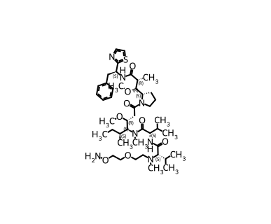 CC[C@H](C)[C@@H]([C@@H](CC(=O)N1CCC[C@H]1[C@H](OC)[C@@H](C)C(=O)N[C@@H](Cc1ccccc1)c1nccs1)OC)N(C)C(=O)[C@@H](NC(=O)[C@H](C(C)C)N(C)CCOCCON)C(C)C